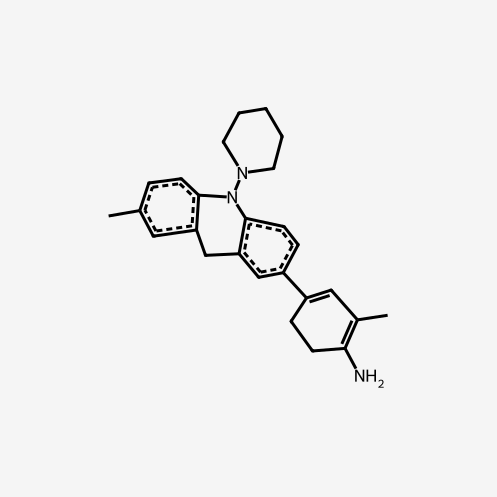 CC1=C(N)CCC(c2ccc3c(c2)Cc2cc(C)ccc2N3N2CCCCC2)=C1